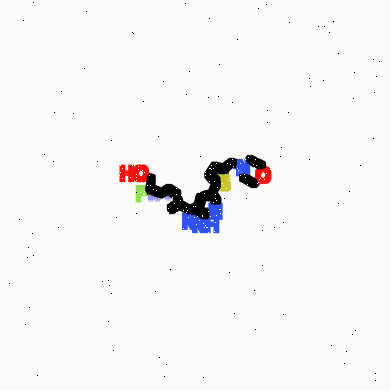 C=C(/C=C\C=C(\F)CO)c1n[nH]c2ncc(-c3ccc(CN4CCOCC4)s3)cc12